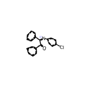 O=C(/C(=N\c1ccc(Cl)cc1)c1ccccc1)c1ccccc1